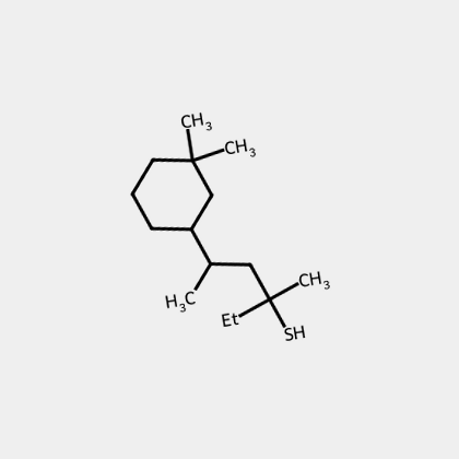 CCC(C)(S)CC(C)C1CCCC(C)(C)C1